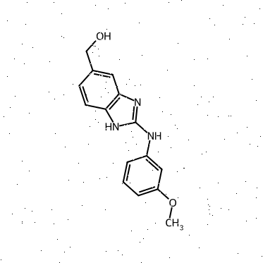 COc1cccc(Nc2nc3cc(CO)ccc3[nH]2)c1